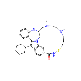 CN1CCCSNC(=O)c2ccc3c(C4CCCCC4)c4n(c3c2)CC(CN(C)CC1)N(C)c1ccccc1-4